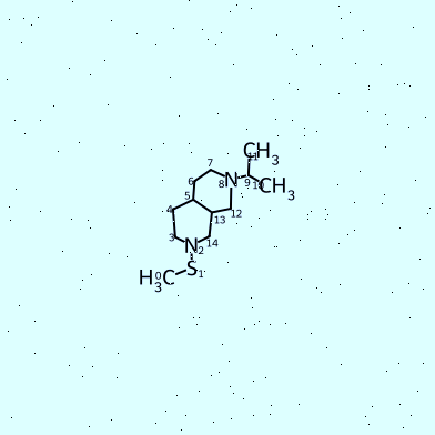 CSN1CCC2CCN(C(C)C)CC2C1